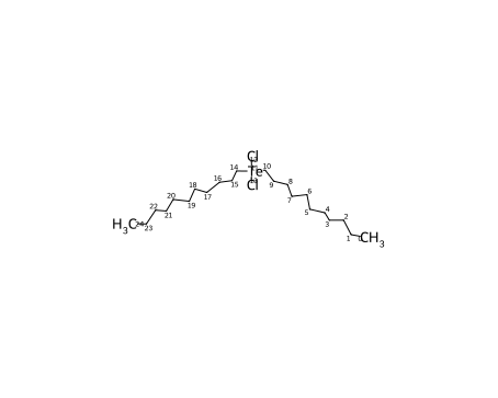 CCCCCCCCCCC[Te](Cl)(Cl)CCCCCCCCCCC